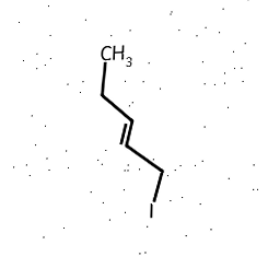 CC/C=C/CI